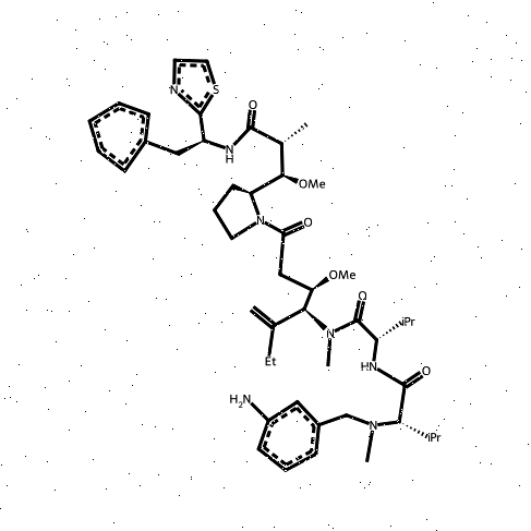 C=C(CC)[C@@H]([C@@H](CC(=O)N1CCC[C@H]1[C@H](OC)[C@@H](C)C(=O)N[C@@H](Cc1ccccc1)c1nccs1)OC)N(C)C(=O)[C@@H](NC(=O)[C@H](C(C)C)N(C)Cc1cccc(N)c1)C(C)C